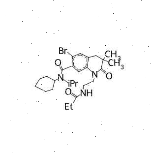 CCC(=O)NCCN1C(=O)C(C)(C)Cc2cc(Br)c(C(=O)N(C(C)C)C3CCCCC3)cc21